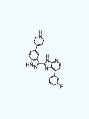 Fc1cccc(-c2ccnc3[nH]c(-c4n[nH]c5ccc(C6=CCNCC6)cc45)nc23)c1